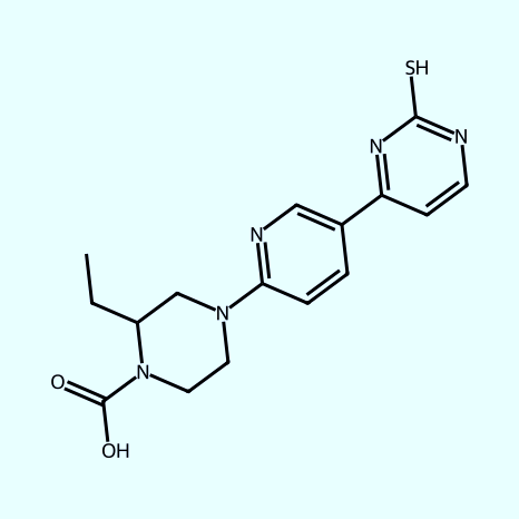 CCC1CN(c2ccc(-c3ccnc(S)n3)cn2)CCN1C(=O)O